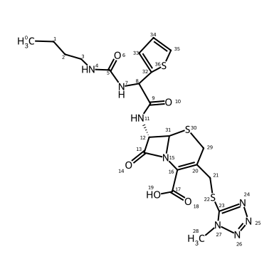 CCCCNC(=O)NC(C(=O)N[C@H]1C(=O)N2C(C(=O)O)=C(CSc3nnnn3C)CSC12)c1cccs1